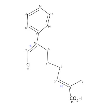 C/C(=C\CCC/C(=C\Cl)c1ccccc1)C(=O)O